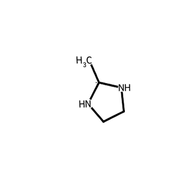 C[C]1NCCN1